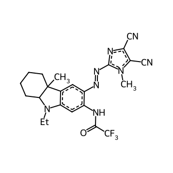 CCN1c2cc(NC(=O)C(F)(F)F)c(N=Nc3nc(C#N)c(C#N)n3C)cc2C2(C)CCCCC12